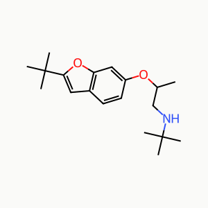 CC(CNC(C)(C)C)Oc1ccc2cc(C(C)(C)C)oc2c1